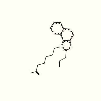 CCCc1nc2cnc3cccnc3c2n1CCCCCC(=O)O